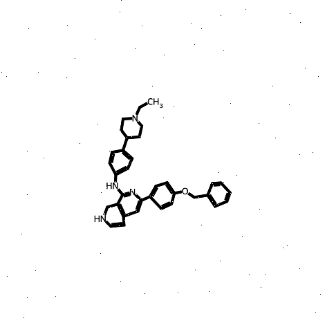 CCN1CCC(c2ccc(Nc3nc(-c4ccc(OCc5ccccc5)cc4)cc4c3CNC=C4)cc2)CC1